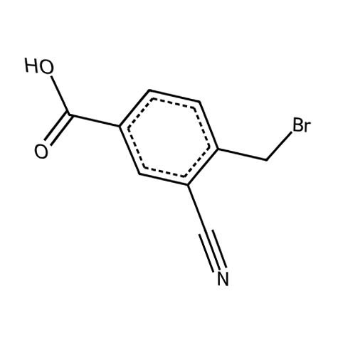 N#Cc1cc(C(=O)O)ccc1CBr